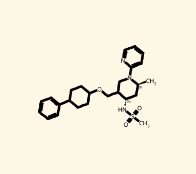 C[C@H]1C[C@H](NS(C)(=O)=O)C(COC2CCC(c3ccccc3)CC2)CN1c1ccccn1